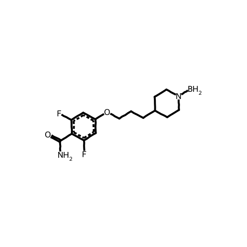 BN1CCC(CCCOc2cc(F)c(C(N)=O)c(F)c2)CC1